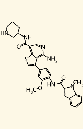 COc1cc(-c2csc3c(C(=O)N[C@@H]4CCCNC4)cnc(N)c23)ccc1NC(=O)c1cc2ccccc2n1C